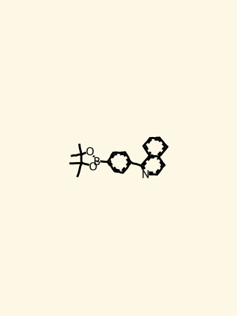 CC1(C)OB(c2ccc(-c3nccc4ccccc34)cc2)OC1(C)C